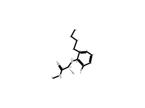 CCCCc1cccc(F)c1O[C@H](C)C(=O)OC